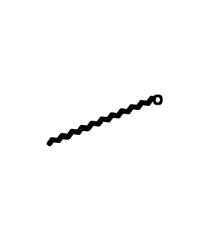 CCC/C=C/CC/C=C/CCCCCCCCCCCCC=O